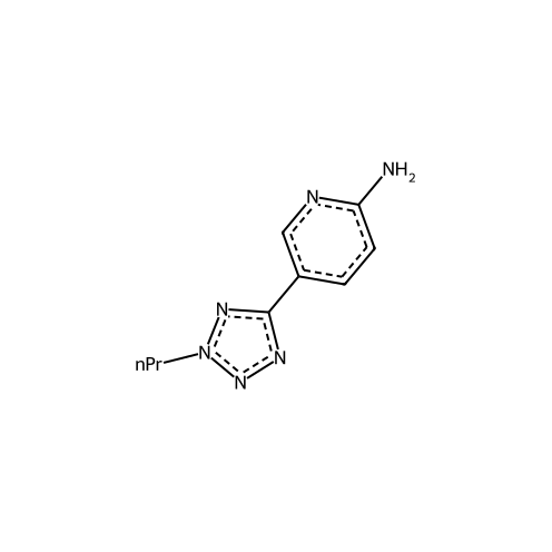 CCCn1nnc(-c2ccc(N)nc2)n1